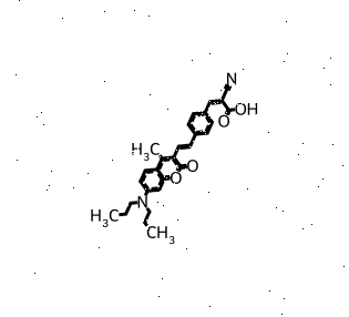 CCCN(CCC)c1ccc2c(C)c(/C=C/c3ccc(/C=C(/C#N)C(=O)O)cc3)c(=O)oc2c1